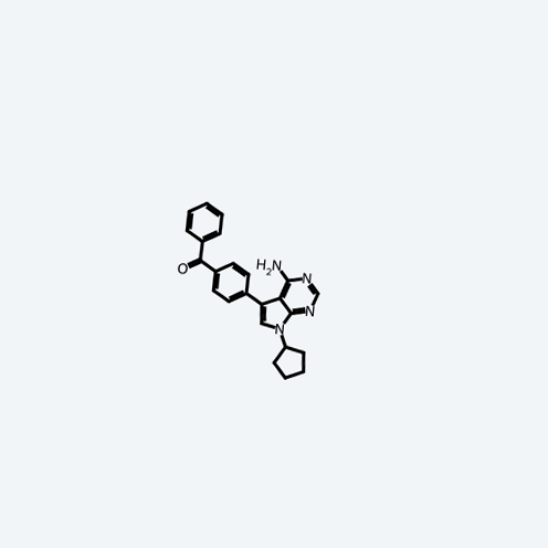 Nc1ncnc2c1c(-c1ccc(C(=O)c3ccccc3)cc1)cn2C1CCCC1